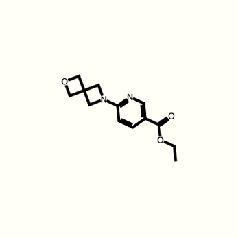 CCOC(=O)c1ccc(N2CC3(COC3)C2)nc1